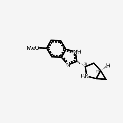 COc1ccc2[nH]c([C@@H]3C[C@H]4CC4N3)nc2c1